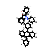 c1ccc(-c2c3ccccc3c(-c3cccc(-c4cccc5c6oc7ccccc7c6n(-c6ccccc6)c45)c3)c3ccccc23)cc1